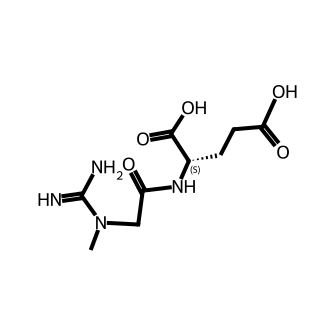 CN(CC(=O)N[C@@H](CCC(=O)O)C(=O)O)C(=N)N